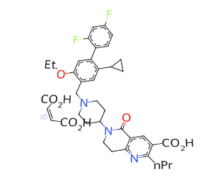 CCCc1nc2c(cc1C(=O)O)C(=O)N(C1CCN(Cc3cc(C4CC4)c(-c4ccc(F)cc4F)cc3OCC)CC1)CC2.O=C(O)/C=C\C(=O)O